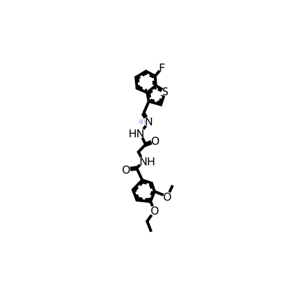 CCOc1ccc(C(=O)NCC(=O)N/N=C/c2csc3c(F)cccc23)cc1OC